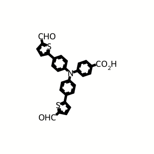 O=Cc1ccc(-c2ccc(N(c3ccc(C(=O)O)cc3)c3ccc(-c4ccc(C=O)s4)cc3)cc2)s1